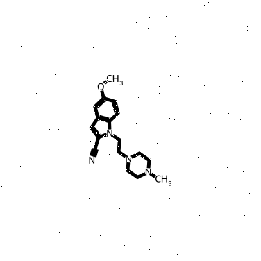 COc1ccc2c(c1)cc(C#N)n2CCN1CCN(C)CC1